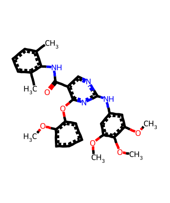 COc1ccccc1Oc1nc(Nc2cc(OC)c(OC)c(OC)c2)ncc1C(=O)Nc1c(C)cccc1C